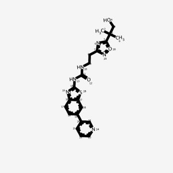 CC(C)(CO)c1nc(CCNC(=O)Nc2nc3ccc(-c4cccnc4)cc3s2)no1